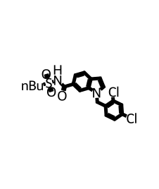 CCCCS(=O)(=O)NC(=O)c1ccc2ccn(Cc3ccc(Cl)cc3Cl)c2c1